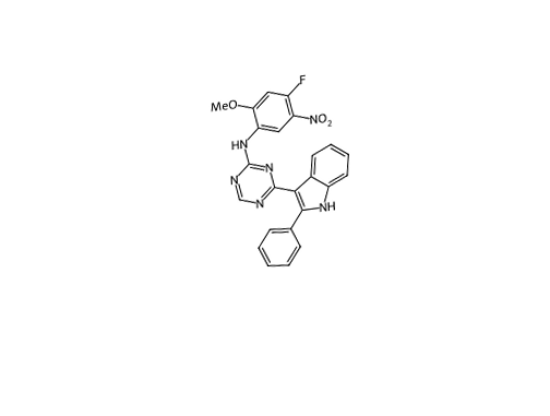 COc1cc(F)c([N+](=O)[O-])cc1Nc1ncnc(-c2c(-c3ccccc3)[nH]c3ccccc23)n1